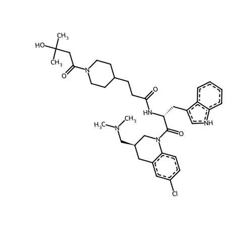 CN(C)C[C@@H]1Cc2cc(Cl)ccc2N(C(=O)[C@@H](Cc2c[nH]c3ccccc23)NC(=O)CCC2CCN(C(=O)CC(C)(C)O)CC2)C1